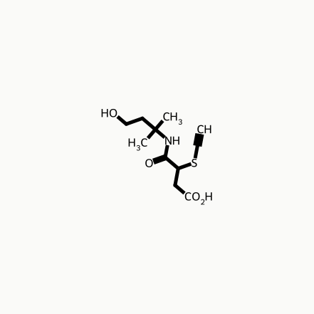 C#CSC(CC(=O)O)C(=O)NC(C)(C)CCO